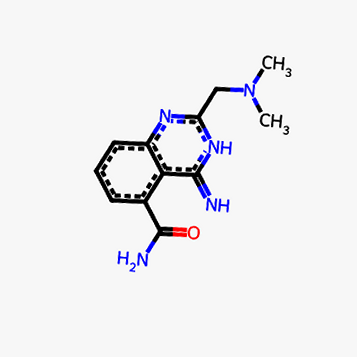 CN(C)Cc1nc2cccc(C(N)=O)c2c(=N)[nH]1